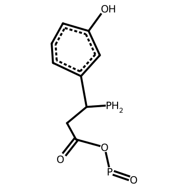 O=POC(=O)CC(P)c1cccc(O)c1